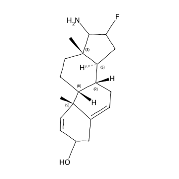 C[C@]12C=CC(O)CC1=CC[C@@H]1[C@H]2CC[C@]2(C)C(N)C(F)C[C@@H]12